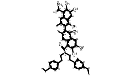 CCc1ccc(CCN(CCc2ccc(CC)cc2)C(=O)c2c(O)c(O)cc3c(O)c(-c4c(C)cc5c(C(N)=O)c(O)c(O)cc5c4O)c(C)cc23)cc1